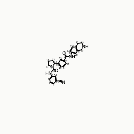 N#Cc1cccc(NC(=O)N2CCC[C@H]2c2cccc(C(=O)Nc3ccc4c(c3)CNCC4)c2)c1